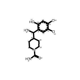 NC(=O)N1CCC(C(N)c2cc(Cl)c(Cl)cc2O)CC1